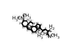 C=C(/C=N\C)/C=C(\C)C1=CC[C@@H]2C1(C)CC=C1C=C3CCC(N(C)C)C[C@]34CC[C@@]12O4